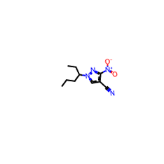 CCCC(CC)n1cc(C#N)c([N+](=O)[O-])n1